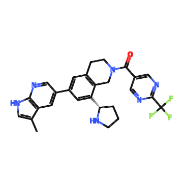 Cc1c[nH]c2ncc(-c3cc4c(c([C@@H]5CCCN5)c3)CN(C(=O)c3cnc(C(F)(F)F)nc3)CC4)cc12